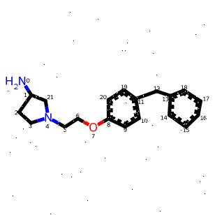 NC1CCN(CCOc2ccc(Cc3ccccc3)cc2)C1